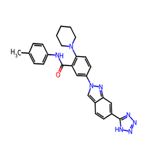 Cc1ccc(NC(=O)c2cc(-n3cc4ccc(-c5nnn[nH]5)cc4n3)ccc2N2CCCCC2)cc1